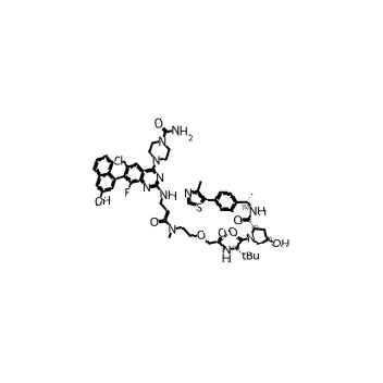 Cc1ncsc1-c1ccc([C@H](C)NC(=O)[C@@H]2C[C@@H](O)CN2C(=O)[C@@H](NC(=O)COCCN(C)C(=O)CCNc2nc(N3CCN(C(N)=O)CC3)c3cc(Cl)c(-c4cc(O)cc5ccccc45)c(F)c3n2)C(C)(C)C)cc1